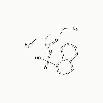 C=O.CCCCC[CH2][Na].O=S(=O)(O)c1cccc2ccccc12